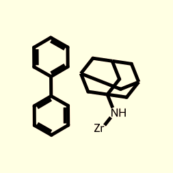 [Zr][NH]C12CC3CC(CC(C3)C1)C2.c1ccc(-c2ccccc2)cc1